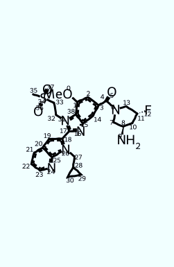 COc1cc(C(=O)N2C[C@H](N)C[C@@H](F)C2)cc2nc(-c3cc4cccnc4n3CC3CC3)n(CCS(C)(=O)=O)c12